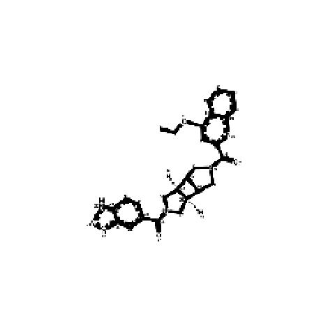 CCOc1cc(C(=O)N2CC3C(C2)[C@@H]2CN(C(=O)c4ccc5[nH]nnc5c4)C[C@H]32)nc2ccccc12